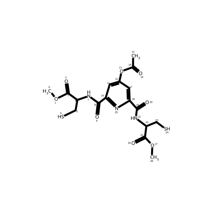 COC(=O)C(CS)NC(=O)c1cc(OC(C)=O)cc(C(=O)NC(CS)C(=O)OC)n1